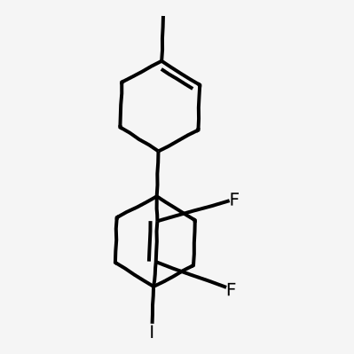 CC1=CCC(C23CCC(I)(CC2)C(F)=C3F)CC1